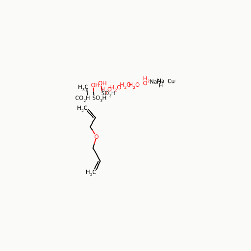 C=CCOCC=C.CC(=O)O.O.O.O.O.O.O=S(=O)(O)O.O=S(=O)(O)O.[Cu].[NaH].[NaH]